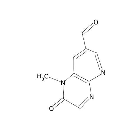 Cn1c(=O)cnc2ncc(C=O)cc21